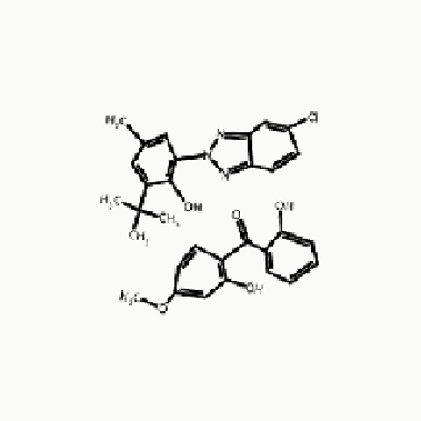 COc1ccc(C(=O)c2ccccc2O)c(O)c1.Cc1cc(-n2nc3ccc(Cl)cc3n2)c(O)c(C(C)(C)C)c1